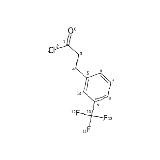 O=C(Cl)CCc1cccc(C(F)(F)F)c1